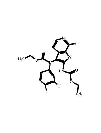 CCOC(=O)Nc1oc2c(Br)nccc2c1N(C(=O)OCC)c1ccc(F)c(Cl)c1